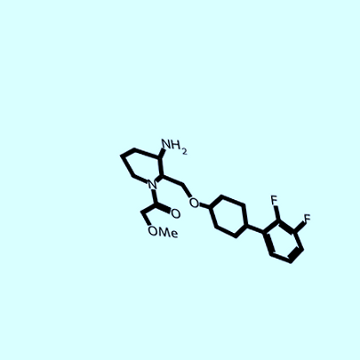 COCC(=O)N1CCCC(N)C1COC1CCC(c2cccc(F)c2F)CC1